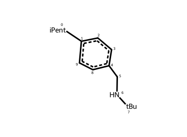 CCCC(C)c1ccc(CNC(C)(C)C)cc1